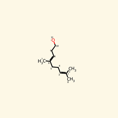 CC(C)=CCCC(C)=CCC[O]